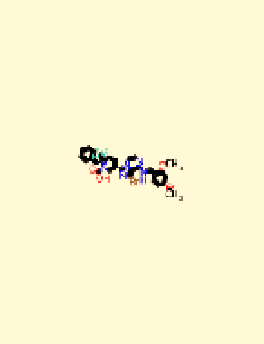 COc1ccc(CNc2nccn3c([C@H]4CC[C@@](Cc5ccccc5)(C(F)(F)F)N(C(=O)O)C4)nc(Br)c23)c(OC)c1